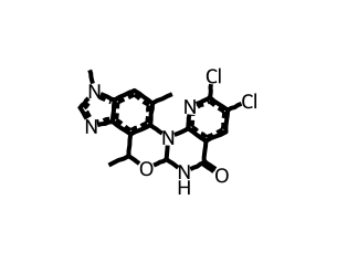 Cc1cc2c(ncn2C)c2c1N1c3nc(Cl)c(Cl)cc3C(=O)NC1OC2C